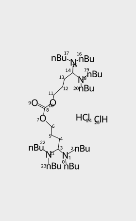 CCCCN(CCCC)C(CCCOC(=O)OCCCC(N(CCCC)CCCC)N(CCCC)CCCC)N(CCCC)CCCC.Cl.Cl